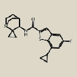 O=C(NC1C2CCN(CC2)C12CC2)c1cc2cc(F)cc(C3CC3)c2s1